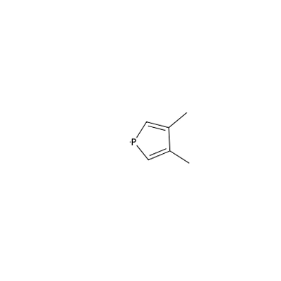 CC1=C[P]C=C1C